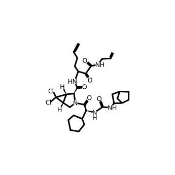 C=CCCC(NC(=O)[C@@H]1[C@@H]2[C@H](CN1C(=O)[C@@H](NC(=O)NC1CC3CCC1C3)C1CCCCC1)C2(Cl)Cl)C(=O)C(=O)NCC=C